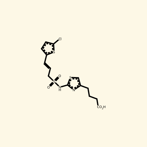 O=C(O)CCCc1csc(NS(=O)(=O)CC=Cc2ccc(Cl)s2)n1